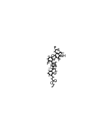 CCOC(=O)CCc1cccc2c1OCC[C@@]2(C)c1nc(-c2cc(Oc3c(F)c(F)c4[nH]ccc4c3CC(F)F)ccc2F)n(C)n1